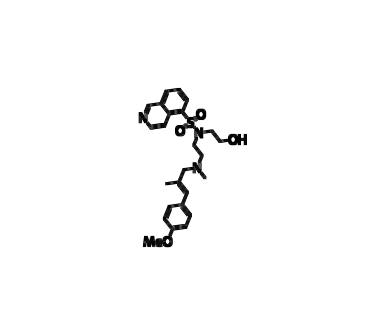 COc1ccc(C=C(C)CN(C)CCN(CCO)S(=O)(=O)c2cccc3cnccc23)cc1